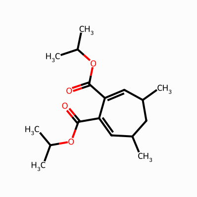 CC1C=C(C(=O)OC(C)C)C(C(=O)OC(C)C)=CC(C)C1